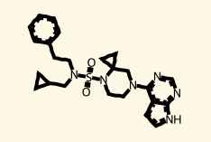 O=S(=O)(N(CCc1ccccc1)CC1CC1)N1CCN(c2ncnc3[nH]ccc23)CC12CC2